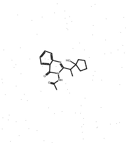 CC(=O)Nn1c(C(C)C2(O)CCCC2)nc2ccccc2c1=O